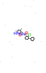 Cc1cc(C)c(CNC(=O)c2cccc(-c3ccccc3)c2Cl)c(=O)[nH]1